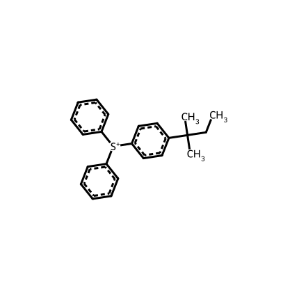 CCC(C)(C)c1ccc([S+](c2ccccc2)c2ccccc2)cc1